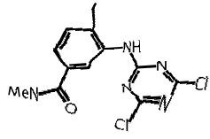 CNC(=O)c1ccc(C)c(Nc2nc(Cl)nc(Cl)n2)c1